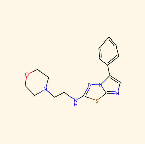 c1ccc(-c2cnc3sc(NCCN4CCOCC4)nn23)cc1